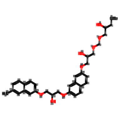 COCC(O)COCOCC(O)COc1ccc2ccc(OCC(O)COc3ccc4ccc(C)cc4c3)cc2c1